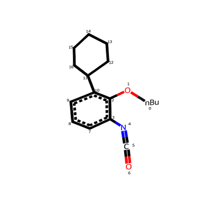 CCCCOc1c(N=C=O)cccc1C1CCCCC1